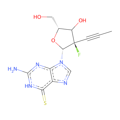 CC#C[C@@]1(F)C(O)[C@@H](CO)O[C@H]1n1cnc2c(=S)[nH]c(N)nc21